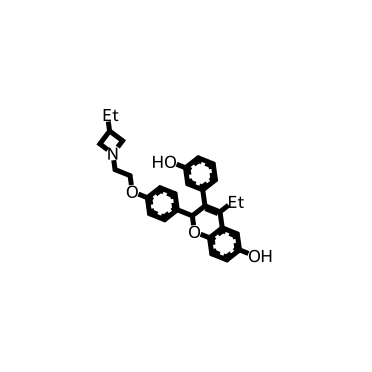 CCC1=C(c2cccc(O)c2)C(c2ccc(OCCN3CC(CC)C3)cc2)Oc2ccc(O)cc21